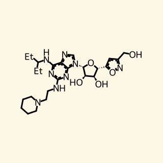 CCC(CC)Nc1nc(NCCN2CCCCC2)nc2c1ncn2[C@@H]1O[C@H](c2cc(CO)no2)[C@@H](O)[C@H]1O